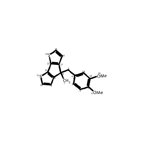 COc1ccc(CC2(C)c3ccsc3-c3sccc32)cc1OC